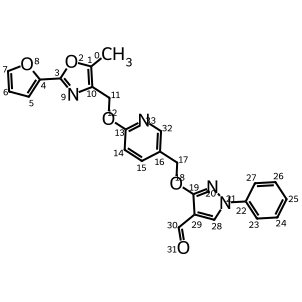 Cc1oc(-c2ccco2)nc1COc1ccc(COc2nn(-c3ccccc3)cc2C=O)cn1